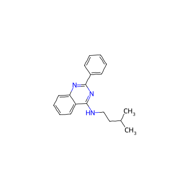 CC(C)CCNc1nc(-c2ccccc2)nc2ccccc12